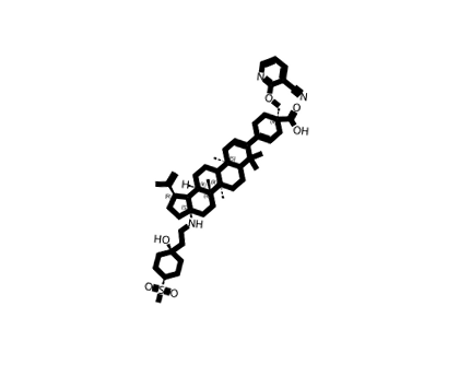 C=C(C)[C@@H]1CC[C@]2(NCC[C@]3(O)CC[C@H](S(C)(=O)=O)CC3)CC[C@]3(C)[C@H](CCC4[C@@]5(C)CC=C(C6=CC[C@](COc7ncccc7C#N)(C(=O)O)CC6)C(C)(C)C5CC[C@]43C)C12